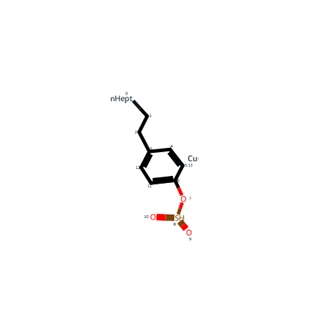 CCCCCCCCCc1ccc(O[SH](=O)=O)cc1.[Cu]